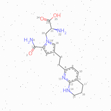 NC(=O)c1cc(CCc2ccc3c(n2)NCCC3)cn1C[C@H](N)C(=O)O